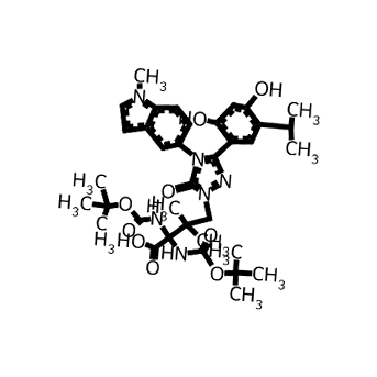 CC(C)c1cc(-c2nn(CC(C)(C)C(NC(=O)OC(C)(C)C)(NC(=O)OC(C)(C)C)C(=O)O)c(=O)n2-c2ccc3c(ccn3C)c2)c(O)cc1O